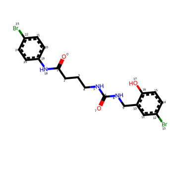 O=C(CCCNC(=O)NCc1cc(Br)ccc1O)Nc1ccc(Br)cc1